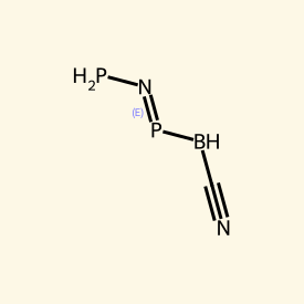 N#CB/P=N/P